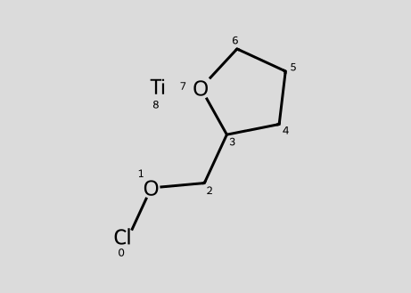 ClOCC1CCCO1.[Ti]